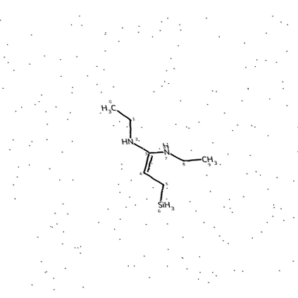 CCNC(=CC[SiH3])NCC